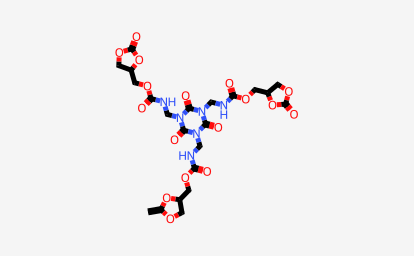 C=C1OCC(COC(=O)NCn2c(=O)n(CNC(=O)OCC3COC(=O)O3)c(=O)n(CNC(=O)OCC3COC(=O)O3)c2=O)O1